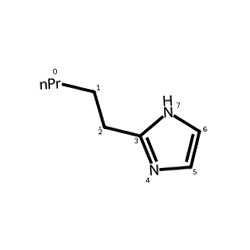 CCCC[CH]c1ncc[nH]1